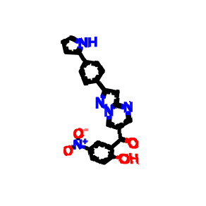 O=C(c1cnc2cc(-c3ccc(-c4ccc[nH]4)cc3)nn2c1)c1cc([N+](=O)[O-])ccc1O